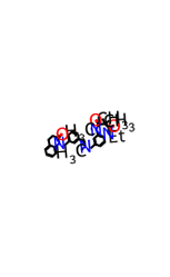 CCN1C(=O)C(C)(C)C(=O)N(C)c2cc(CN(C)Cc3cccc(CN4C(=O)CCc5ccccc54)c3)ccc21